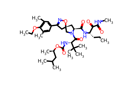 CCC[C@H](NC(=O)[C@@H]1C[C@]2(CC(c3cc(C)c(OCC)c(C)c3)=NO2)CN1C(=O)[C@@H](NC(=O)O[C@H](C)CC(C)C)C(C)(C)C)C(=O)C(=O)NC